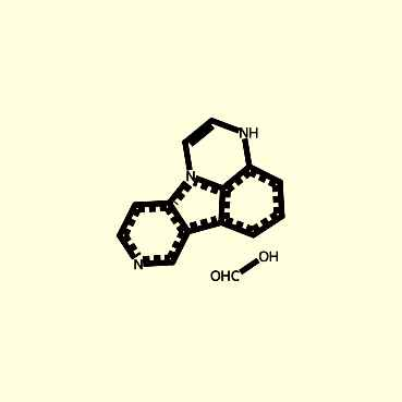 C1=Cn2c3ccncc3c3cccc(c32)N1.O=CO